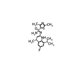 Cc1nc(C)c(S(N)(=O)=NC2=CC(C)c3cc(F)cc(C(C)C)c3N2)s1